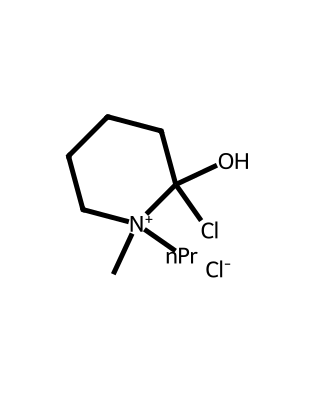 CCC[N+]1(C)CCCCC1(O)Cl.[Cl-]